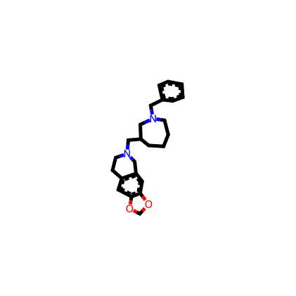 c1ccc(CN2CCCCC(CN3CCc4cc5c(cc4C3)OCO5)C2)cc1